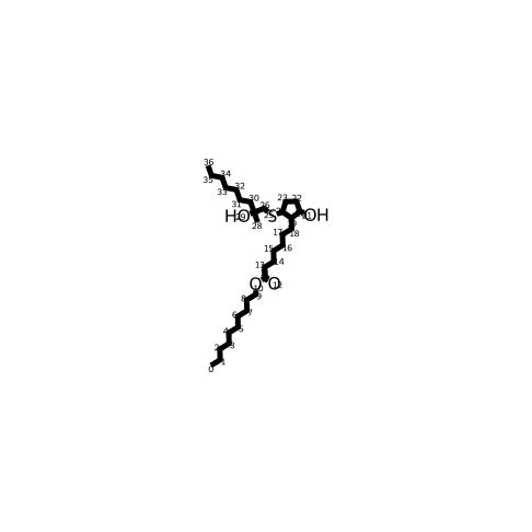 CCCCCCCCCCOC(=O)CCCCCCC1C(O)CCC1SCC(C)(O)CCCCCCC